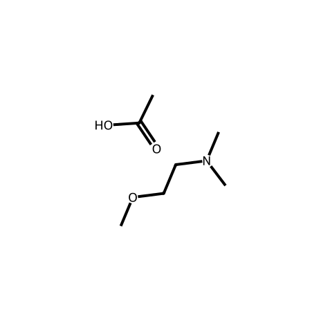 CC(=O)O.COCCN(C)C